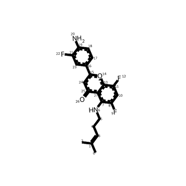 CC(C)=CCCNc1c(F)cc(F)c2oc(-c3ccc(N)c(F)c3)cc(=O)c12